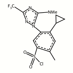 CNc1nc(C(F)(F)F)nn1-c1cc(S(=O)(=O)Cl)c(C)cc1C1CC1